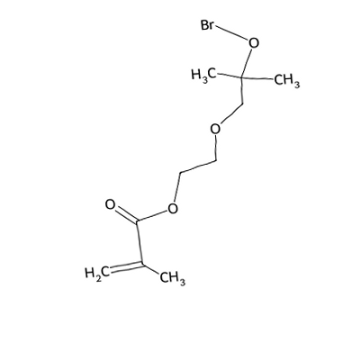 C=C(C)C(=O)OCCOCC(C)(C)OBr